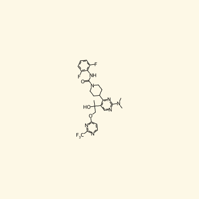 CN(C)c1ncc(C(C)(O)COc2ccnc(C(F)(F)F)n2)c(C2CCN(C(=O)Nc3c(F)cccc3F)CC2)n1